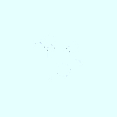 Cc1cc(Cc2ccc(=O)[nH]n2)n(C)c1C(=O)c1ccc(Br)cc1